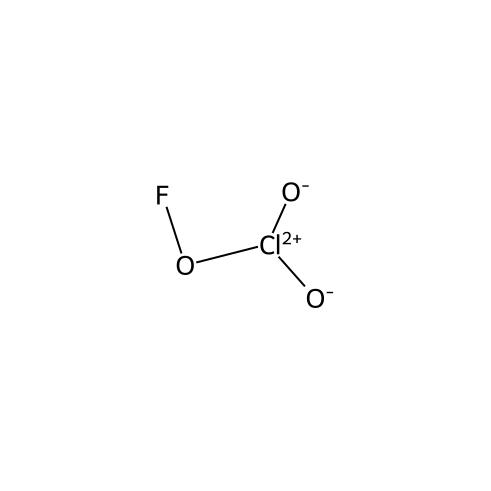 [O-][Cl+2]([O-])OF